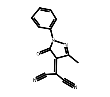 CC1=NN(c2ccccc2)C(=O)C1=C(C#N)C#N